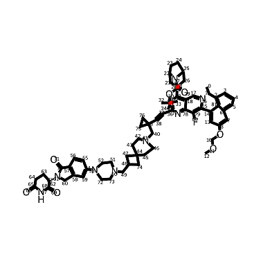 CCc1cccc2cc(OCOC)cc(-c3ncc4c(N5CC6CCC(C5)N6C(=O)OC(C)(C)C)nc(C#CC5(CN6CCC7(CC6)CC(CN6CCN(c8ccc9c(c8)CN([C@H]8CCC(=O)NC8=O)C9=O)CC6)C7)CC5)nc4c3F)c12